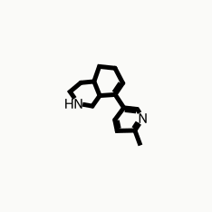 Cc1ccc(C2=CCCC3CCNCC23)cn1